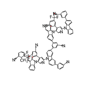 CC1C(C#N)=CC=CC1c1ccc2c(c1)c1ccccc1n2-c1cnc(-n2c3ccc(-c4cccc(C#N)c4)cc3c3cc(-c4cc(C#N)cc(-c5ccc6c7ccccc7n(-c7cnc(-n8c9ccccc9c9ccc(-c%10cccc(C#N)c%10)cc98)cc7-c7cc(C#N)cc(C(F)(F)F)c7)c6c5)c4)ccc32)cc1-c1cc(C#N)cc(C(F)(F)F)c1